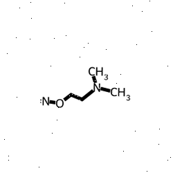 CN(C)CCO[N]